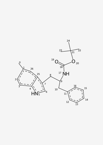 Cc1ccc2[nH]cc(CC(Cc3ccccc3)NC(=O)OC(C)(C)C)c2c1